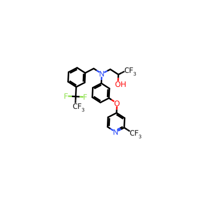 OC(CN(Cc1cccc(C(F)(F)C(F)(F)F)c1)c1cccc(Oc2ccnc(C(F)(F)F)c2)c1)C(F)(F)F